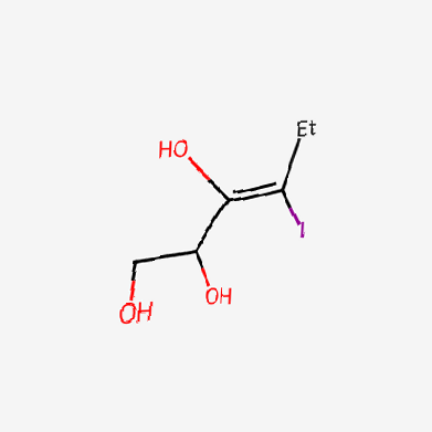 CCC(I)=C(O)C(O)CO